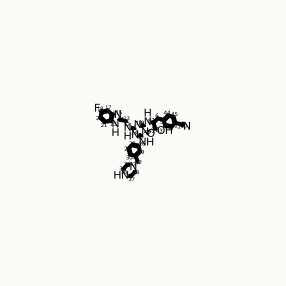 N#Cc1ccc(CC(Nc2nc(NCc3nc4cc(F)ccc4[nH]3)nc(Nc3cccc(CN4CCNCC4)c3)n2)C(=O)O)cc1